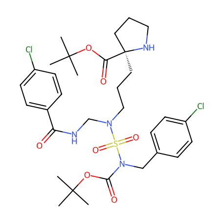 CC(C)(C)OC(=O)N(Cc1ccc(Cl)cc1)S(=O)(=O)N(CCC[C@]1(C(=O)OC(C)(C)C)CCCN1)CNC(=O)c1ccc(Cl)cc1